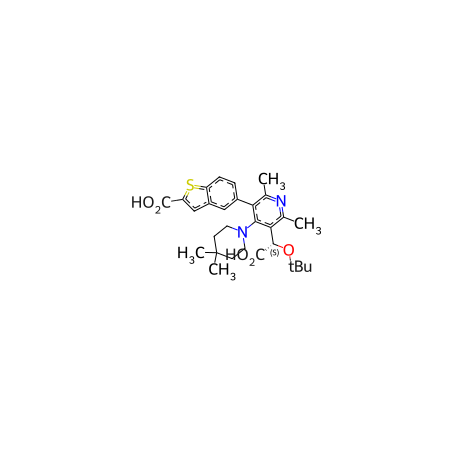 Cc1nc(C)c([C@H](OC(C)(C)C)C(=O)O)c(N2CCC(C)(C)CC2)c1-c1ccc2sc(C(=O)O)cc2c1